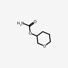 NC(=O)OC1CCCOC1